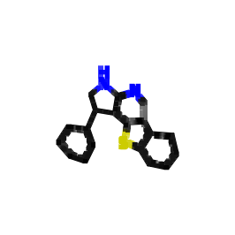 c1ccc(C2CNc3ncc4c(sc5ccccc54)c32)cc1